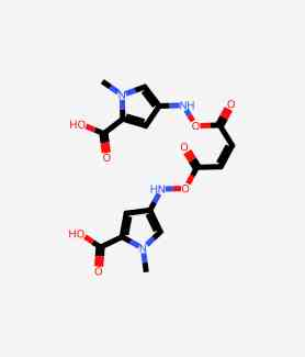 Cn1cc(NOC(=O)/C=C\C(=O)ONc2cc(C(=O)O)n(C)c2)cc1C(=O)O